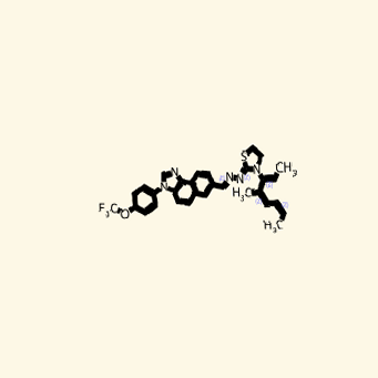 C\C=C/C=C(C)\C(=C\C)N1CCS/C1=N\N=C\c1ccc2c(ccc3c2ncn3C2=CCC(OC(F)(F)F)C=C2)c1